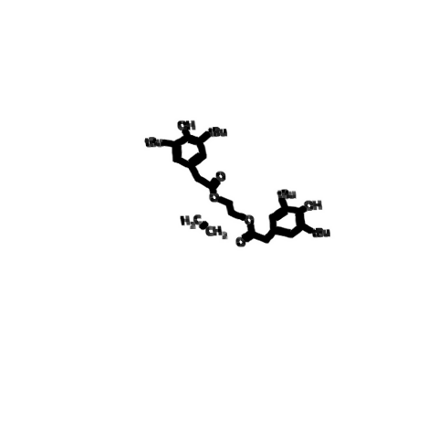 C=C.CC(C)(C)c1cc(CC(=O)OCCOC(=O)Cc2cc(C(C)(C)C)c(O)c(C(C)(C)C)c2)cc(C(C)(C)C)c1O